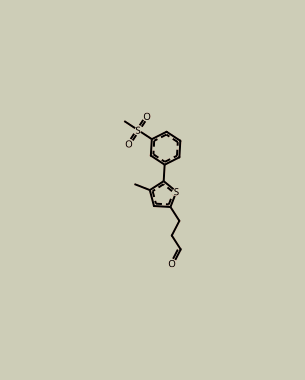 Cc1cc(CCC=O)sc1-c1cccc(S(C)(=O)=O)c1